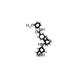 Cc1cccc(NC(=O)C2CCc3c(sc4ncnc(Nc5ccc6[nH]ncc6c5)c34)C2)c1